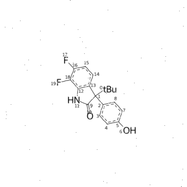 CC(C)(C)C1(c2ccc(O)cc2)C(=O)Nc2c1ccc(F)c2F